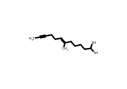 CC#CCC/C=C(\C)CCCCC(S)S